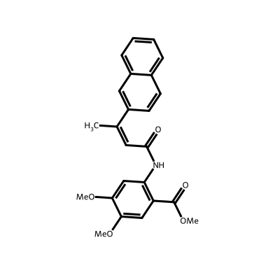 COC(=O)c1cc(OC)c(OC)cc1NC(=O)/C=C(/C)c1ccc2ccccc2c1